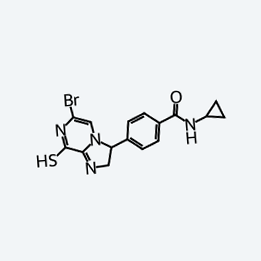 O=C(NC1CC1)c1ccc(C2CN=C3C(S)=NC(Br)=CN32)cc1